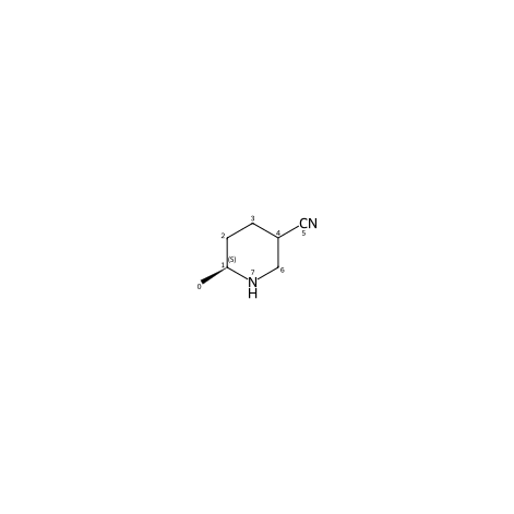 C[C@H]1CCC(C#N)CN1